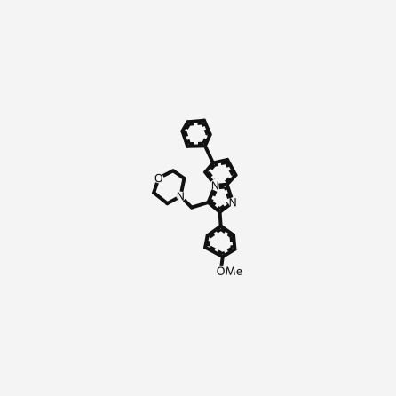 COc1ccc(-c2nc3ccc(-c4ccccc4)cn3c2CN2CCOCC2)cc1